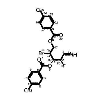 N=C[C@@H](F)[C@H](OC(=O)c1ccc(Cl)cc1)[C@@H](Br)COC(=O)c1ccc(Cl)cc1